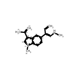 C=C/C(=C\NC)c1ccc2c(c1)c(C(=C)C)cn2C